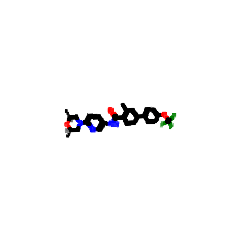 Cc1cc(-c2ccc(OC(F)(F)F)cc2)ccc1C(=O)Nc1ccc(N2C[C@@H](C)O[C@@H](C)C2)nc1